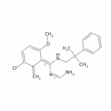 C=c1c(Cl)ccc(OC)/c1=C(/N=C\N)NCC(C)(C)c1ccccc1